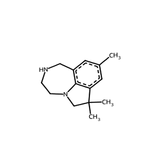 Cc1cc2c3c(c1)C(C)(C)CN3CCNC2